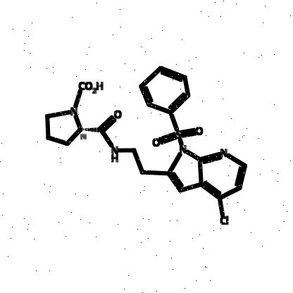 O=C(NCCc1cc2c(Cl)ccnc2n1S(=O)(=O)c1ccccc1)[C@@H]1CCCN1C(=O)O